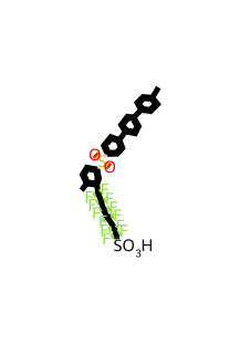 Cc1ccc(-c2ccc(-c3ccc(S(=O)(=O)c4ccc(C)c(C(F)(F)C(F)(F)C(F)(F)C(F)(F)C(F)(F)C(F)(F)S(=O)(=O)O)c4)cc3)cc2)cc1